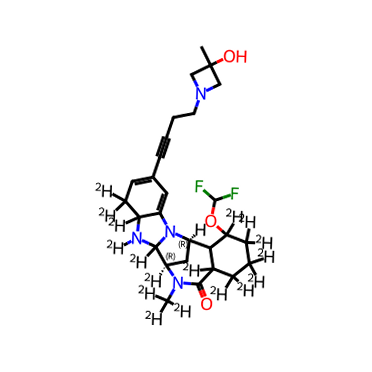 [2H]N1C2([2H])C(=CC(C#CCCN3CC(C)(O)C3)=CC2([2H])[2H])N2[C@@H]3C[C@@]([2H])(N(C([2H])([2H])[2H])C(=O)C4([2H])C3C([2H])(OC(F)F)C([2H])([2H])C([2H])([2H])C4([2H])[2H])C21[2H]